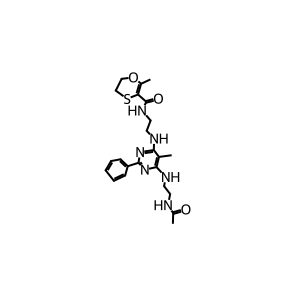 CC(=O)NCCNc1nc(-c2ccccc2)nc(NCCNC(=O)C2=C(C)OCCS2)c1C